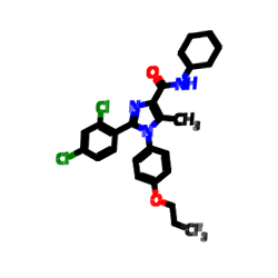 Cc1c(C(=O)NC2CCCCC2)nc(-c2ccc(Cl)cc2Cl)n1-c1ccc(OCCC(F)(F)F)cc1